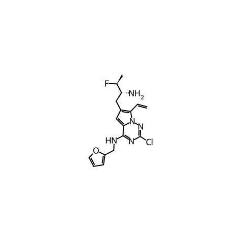 C=Cc1c(C[C@@H](N)[C@H](C)F)cc2c(NCc3ccco3)nc(Cl)nn12